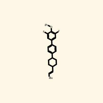 CCC(C)/C=C/C1CCC(c2ccc(-c3cc(F)c(OC(C)C)c(F)c3)cc2)CC1